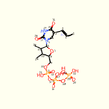 C/C=C/c1cn(C2OC(COP(=O)(O)OP(=O)(O)OP(=O)(O)O)C(C)C2C)c(=O)[nH]c1=O